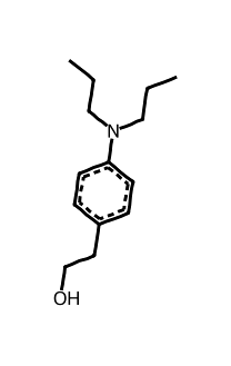 CCCN(CCC)c1ccc(CCO)cc1